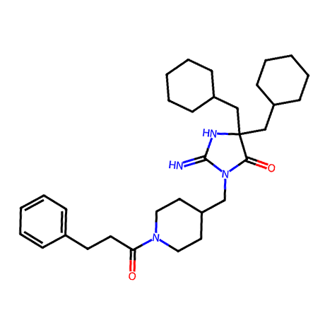 N=C1NC(CC2CCCCC2)(CC2CCCCC2)C(=O)N1CC1CCN(C(=O)CCc2ccccc2)CC1